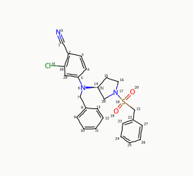 N#Cc1ccc(N(Cc2ccccc2)[C@H]2CCN(S(=O)(=O)Cc3ccccc3)C2)cc1Cl